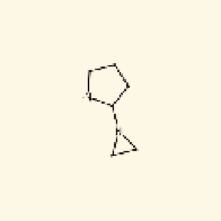 C1C[N]C(N2CC2)C1